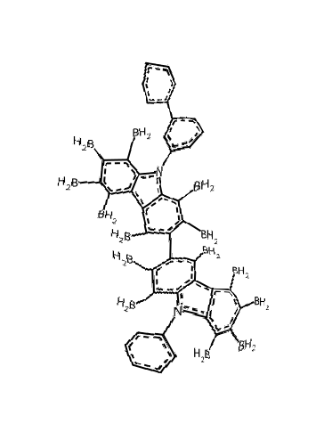 Bc1c(B)c(B)c2c(c1B)c1c(B)c(-c3c(B)c(B)c4c(c3B)c3c(B)c(B)c(B)c(B)c3n4-c3cccc(-c4ccccc4)c3)c(B)c(B)c1n2-c1ccccc1